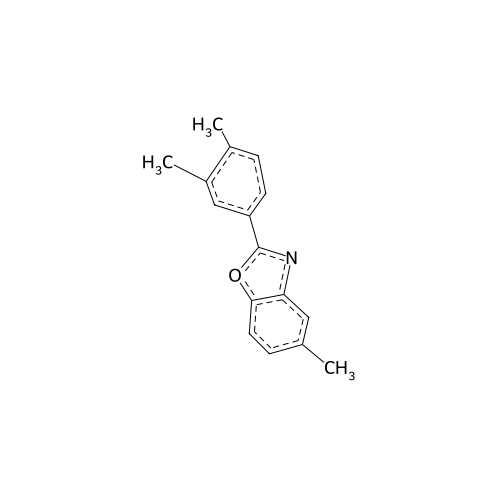 Cc1ccc2oc(-c3ccc(C)c(C)c3)nc2c1